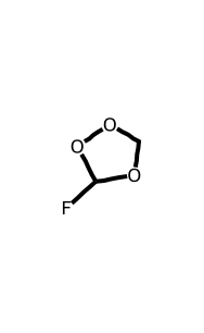 FC1OCOO1